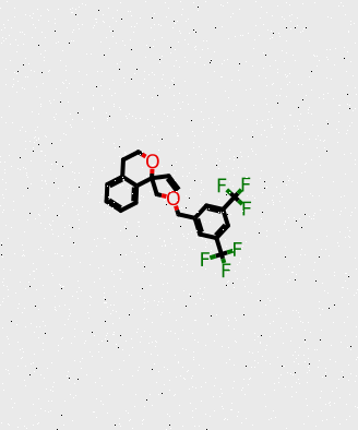 C=CC1(COCc2cc(C(F)(F)F)cc(C(F)(F)F)c2)OCCc2ccccc21